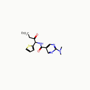 CCOC(=O)CC(=O)C(NC(=O)c1cnc(N(C)C)nc1)c1cccs1